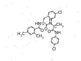 Cc1ccc(C(=O)N[C@@H](Cc2ccc(Cl)cc2)C(=O)N[C@@H](C)C(=O)Nc2ccc(Cl)cc2)c(C)c1